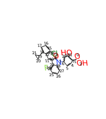 O=C(O)c1ccc(N2C(=O)/C(=C\c3c(Cl)cccc3C3CC3)c3c(F)cccc32)cc1O